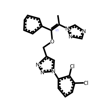 C/C(=C(/OCc1cn(-c2cccc(Cl)c2Cl)nn1)c1ccccc1)n1cncn1